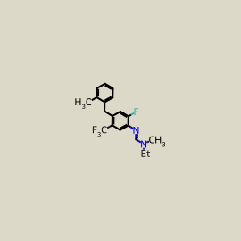 CCN(C)C=Nc1cc(C(F)(F)F)c(Cc2ccccc2C)cc1F